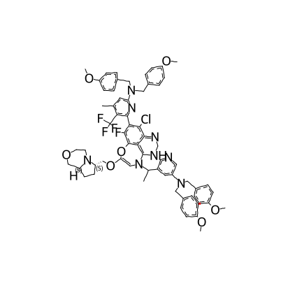 COc1ccc(CN(Cc2ccc(OC)cc2)c2cncc(C(C)N3C=C(OC[C@@H]4CC[C@H]5COCCN54)Oc4c(F)c(-c5nc(N(Cc6ccc(OC)cc6)Cc6ccc(OC)cc6)cc(C)c5C(F)(F)F)c(Cl)c5c4=C3NCN=5)c2)cc1